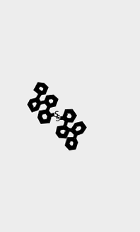 c1ccc(-c2ccccc2-c2ccccc2-c2ccccc2SSc2ccccc2-c2ccccc2-c2ccccc2-c2ccccc2)cc1